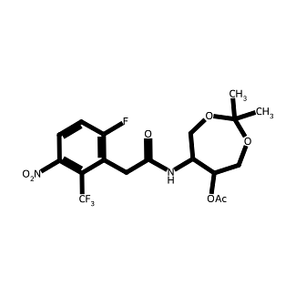 CC(=O)OC1COC(C)(C)OCC1NC(=O)Cc1c(F)ccc([N+](=O)[O-])c1C(F)(F)F